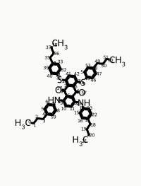 CCCCc1ccc(Nc2ccc(Nc3ccc(CCCC)cc3)c3c2C(=O)c2c(Sc4ccc(CCCC)cc4)ccc(Sc4ccc(CCCC)cc4)c2C3=O)cc1